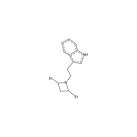 CCC1CC(CC)N1CCc1c[nH]c2ccccc12